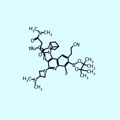 CN(C)C(=O)CCc1nc2c(N3CC(N(C)C)C3)nc3c(F)c(B4OC(C)(C)C(C)(C)O4)c(CCC#N)cc3c2n1C1C2CC1N(C(=O)OC(C)(C)C)C2